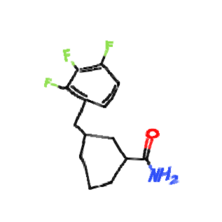 NC(=O)C1CCCC(Cc2ccc(F)c(F)c2F)C1